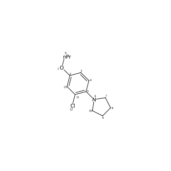 CCCOc1ccc(N2CCCC2)c(Cl)c1